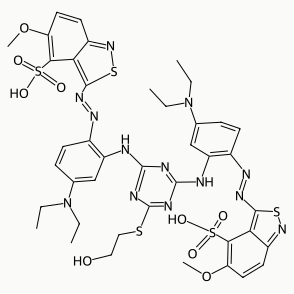 CCN(CC)c1ccc(/N=N/c2snc3ccc(OC)c(S(=O)(=O)O)c23)c(Nc2nc(Nc3cc(N(CC)CC)ccc3/N=N/c3snc4ccc(OC)c(S(=O)(=O)O)c34)nc(SCCO)n2)c1